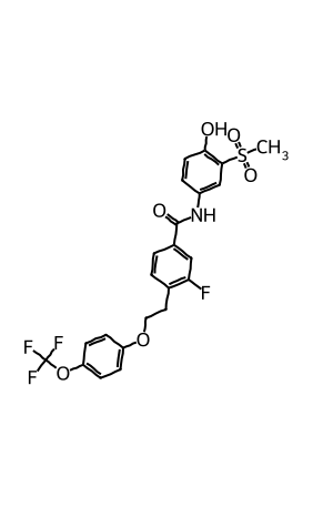 CS(=O)(=O)c1cc(NC(=O)c2ccc(CCOc3ccc(OC(F)(F)F)cc3)c(F)c2)ccc1O